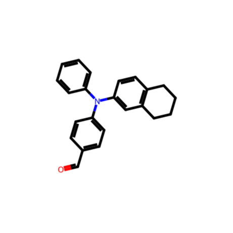 O=Cc1ccc(N(c2ccccc2)c2ccc3c(c2)CCCC3)cc1